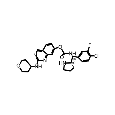 O=C(N[C@H](c1ccc(Cl)c(F)c1)[C@@H]1CCCN1)Oc1ccc2cnc(NC3CCOCC3)nc2c1